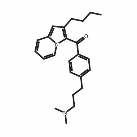 CCCCc1cc2ccccn2c1C(=O)c1ccc(CCCN(C)C)cc1